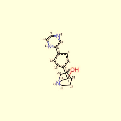 OC1(c2ccc(-c3cnccn3)cc2)CN2CCC1CC2